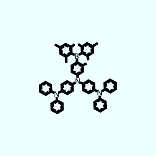 Cc1cc(C)c(B(c2ccc(N(c3ccc(N(c4ccccc4)c4ccccc4)cc3)c3ccc(N(c4ccccc4)c4ccccc4)cc3)cc2C)c2c(C)cc(C)cc2C)c(C)c1